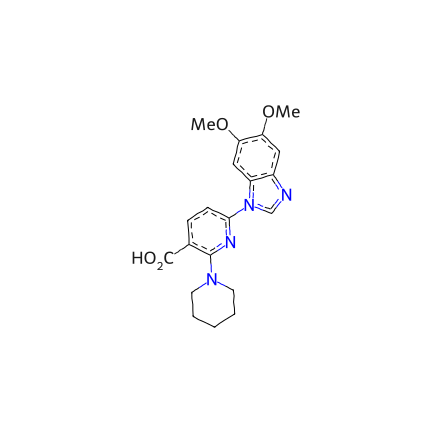 COc1cc2ncn(-c3ccc(C(=O)O)c(N4CCCCC4)n3)c2cc1OC